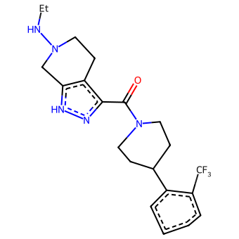 CCNN1CCc2c(C(=O)N3CCC(c4ccccc4C(F)(F)F)CC3)n[nH]c2C1